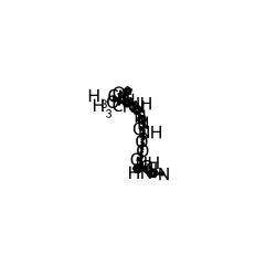 CC(=O)c1c(C)c2cnc(Nc3ccc(N4CCN(CC(=O)NCCOCCOCCC(=O)Nc5ccccc5C(=O)Nc5ccc(C#N)cn5)CC4)cn3)nc2n(C2CCCC2)c1=O